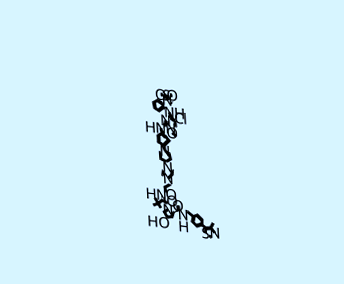 COc1cc(N2CCC(N3CCN(CCC(=O)N[C@H](C(=O)N4C[C@H](O)C[C@@H]4C(=O)NCc4ccc(-c5scnc5C)cc4)C(C)(C)C)CC3)CC2)ccc1Nc1ncc(Cl)c(Nc2ccccc2N(C)S(C)(=O)=O)n1